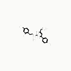 NCc1cc(-c2ccc(Br)cc2)nc(NCCc2ccc(Cl)cc2Cl)n1